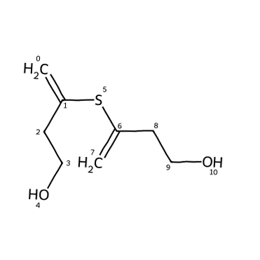 C=C(CCO)SC(=C)CCO